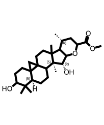 COC(=O)C1C[C@@H](C)C2C(O1)[C@H](O)[C@@]1(C)C3CC[C@H]4C(C)(C)C(O)CCC45CC35CCC21C